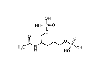 CC(=O)NC(CCCOP(=O)(O)O)COP(=O)(O)O